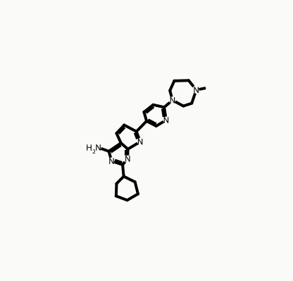 CN1CCCN(c2ccc(-c3ccc4c(N)nc(C5CCCCC5)nc4n3)cn2)CC1